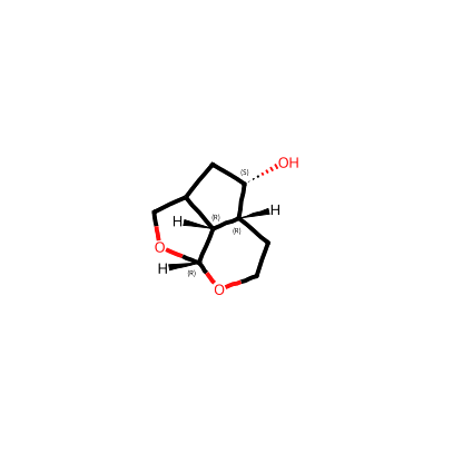 O[C@H]1CC2CO[C@H]3OCC[C@@H]1[C@@H]23